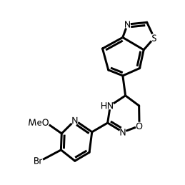 COc1nc(C2=NOCC(c3ccc4ncsc4c3)N2)ccc1Br